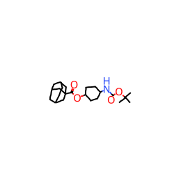 CC(C)(C)OC(=O)NC1CCC(OC(=O)C23CC4CC(CC(C4)C2)C3)CC1